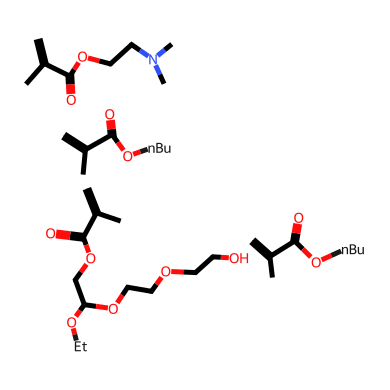 C=C(C)C(=O)OCC(OCC)OCCOCCO.C=C(C)C(=O)OCCCC.C=C(C)C(=O)OCCCC.C=C(C)C(=O)OCCN(C)C